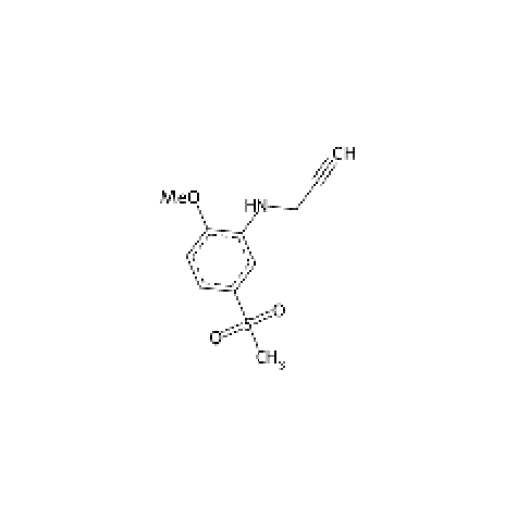 C#CCNc1cc(S(C)(=O)=O)ccc1OC